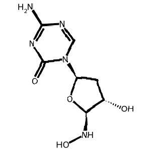 Nc1ncn([C@H]2C[C@H](O)[C@@H](NO)O2)c(=O)n1